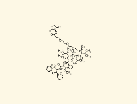 CCC(C)C(C(CC(=O)N1CCC[C@H]1C(OC)C(C)C(=O)NC(C(=O)N1CCCCO1)C(C)c1ccccc1)OC)N(C)C(=O)C(NC(=O)C(C(C)C)N(C)CCOCCOCCOCCC(=O)ON1C(=O)CCC1=O)C(C)C